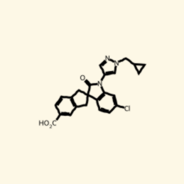 O=C(O)c1ccc2c(c1)CC1(C2)C(=O)N(c2cnn(CC3CC3)c2)c2cc(Cl)ccc21